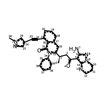 C[C@H](CC(=O)c1c(N)nn2cccnc12)c1cc2cccc(C#Cc3cnn(C)c3)c2c(=O)n1-c1ccccc1